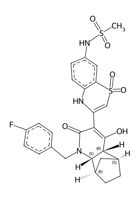 CS(=O)(=O)Nc1ccc2c(c1)S(=O)(=O)C=C(C1=C(O)[C@@H]3[C@H]4CC[C@H](C4)[C@@H]3N(Cc3ccc(F)cc3)C1=O)N2